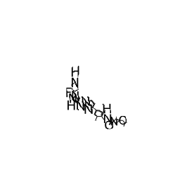 Cc1cc(-c2ccnc(Nc3cnn([C@H]4CCNC[C@@H]4F)c3)n2)ccc1CNC(=O)N1CC(OC(C)C)C1